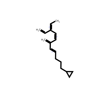 C=CC(/C=C\C(=C)/C=C/CCCC1CC1)=C/C